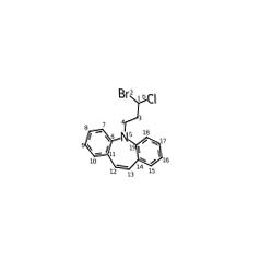 ClC(Br)CCN1c2ccccc2C=Cc2ccccc21